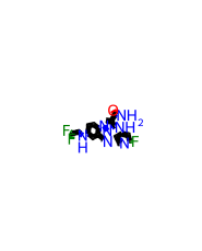 N#CC1CC(NCC(F)F)CCC1n1cc(C(N)=O)c(Nc2ccnc(F)c2)n1